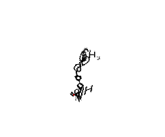 COC(=O)CCOCCc1ccc(-c2ccc(Nc3nnc(C4CCC4)o3)cc2)cc1